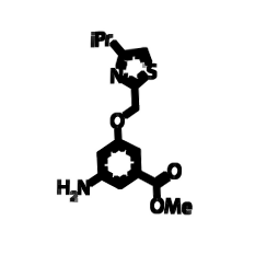 COC(=O)c1cc(N)cc(OCc2nc(C(C)C)cs2)c1